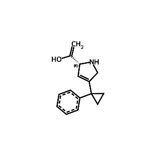 C=C(O)[C@H]1C=C(C2(c3ccccc3)CC2)CN1